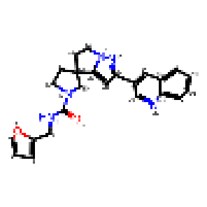 O=C(NCc1ccco1)N1CCC2(CCn3nc(-c4cnc5ccccc5c4)cc32)C1